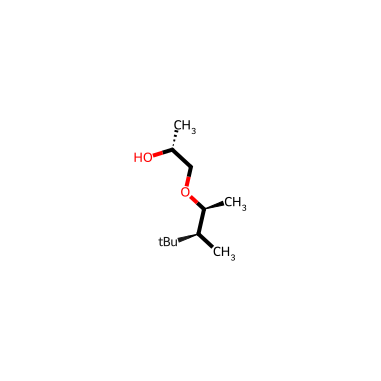 C[C@H](OC[C@@H](C)O)[C@@H](C)C(C)(C)C